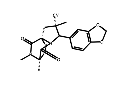 CN1C(=O)[C@@]23C[C@](C)(C#N)C(c4ccc5c(c4)OCO5)N2C(=O)[C@@]1(C)SS3